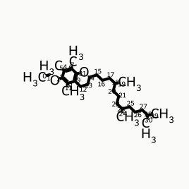 CCOc1c(C)c(C)c2c(c1C)CCC(CCCC(C)CCCC(C)CCCC(C)C)O2